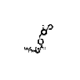 CSNc1ccn(C(=O)N2CCN(Cc3ccc(N4CCCC4)c(Cl)c3)CC2)n1